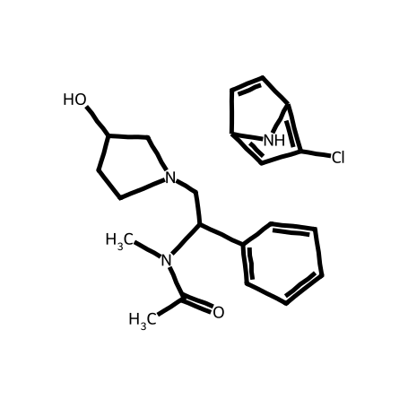 CC(=O)N(C)C(CN1CCC(O)C1)c1ccccc1.Clc1cc2ccc1[nH]2